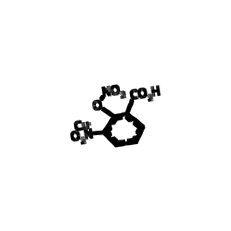 O=C(O)c1cccc([N+](=O)[O-])c1O[N+](=O)[O-].[Cu]